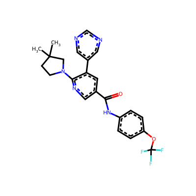 CC1(C)CCN(c2ncc(C(=O)Nc3ccc(OC(F)(F)F)cc3)cc2-c2cncnc2)C1